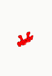 CC1(C)c2cc(N(c3ccc(-c4cccc5ccccc45)cc3)c3ccc(-c4cccc5ccccc45)cc3)c3c(oc4ccccc43)c2-c2ccc3c(c21)C(C)(C)c1cc(N(c2ccc(-c4cccc5ccccc45)cc2)c2ccc(-c4cccc5ccccc45)cc2)c2c(oc4ccccc42)c1-3